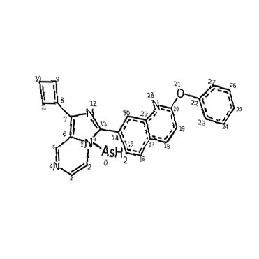 [AsH2][N+]12C=CN=CC1=C(C1=CC=C1)N=C2c1ccc2ccc(Oc3ccccc3)nc2c1